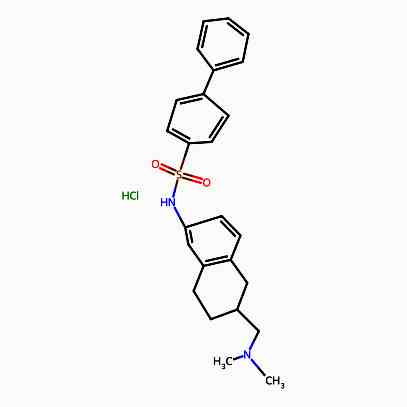 CN(C)CC1CCc2cc(NS(=O)(=O)c3ccc(-c4ccccc4)cc3)ccc2C1.Cl